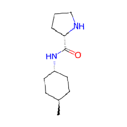 C[C@H]1CC[C@H](NC(=O)[C@@H]2CCCN2)CC1